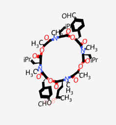 BC(C)CC[C@H]1C(=O)O[C@H](Cc2ccc(C=O)cc2)C(=O)N(C)[C@@H](CC(C)C)C(=O)O[C@H](C)C(=O)N(C)[C@@H](CC(C)C)C(=O)O[C@H](Cc2ccc(C=O)cc2)C(=O)N(C)[C@@H](CC(C)C)C(=O)O[C@H](C)C(=O)N1C